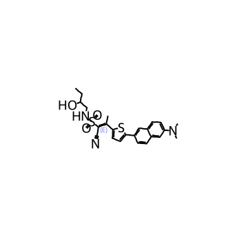 CCC(O)CNS(=O)(=O)/C(C#N)=C(\C)c1ccc(-c2ccc3cc(N(C)C)ccc3c2)s1